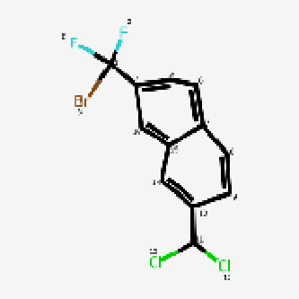 FC(F)(Br)c1ccc2ccc(C(Cl)Cl)cc2c1